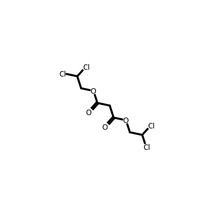 O=C(CC(=O)OCC(Cl)Cl)OCC(Cl)Cl